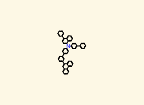 c1ccc(-c2ccc(N(c3ccc(-c4cccc(-c5cc6ccccc6c6ccccc56)c4)cc3)c3ccc(-c4ccccc4)c4ccccc34)cc2)cc1